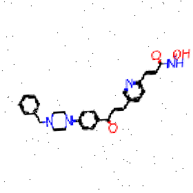 O=C(/C=C/c1ccc(/C=C/C(=O)c2ccc(N3CCN(Cc4ccccc4)CC3)cc2)cn1)NO